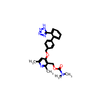 Cc1cc(OCc2ccc(-c3ccccc3-c3nnn[nH]3)cc2)c(COC(=O)N(C)C)c(C)n1